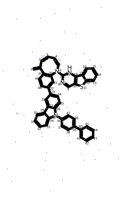 C=C1/C=C\C=C/N(C2N=Cc3sc4ccccc4c3N2)c2cc(-c3ccc4c(c3)c3ccccc3n4-c3ccc(-c4ccccc4)cc3)ccc21